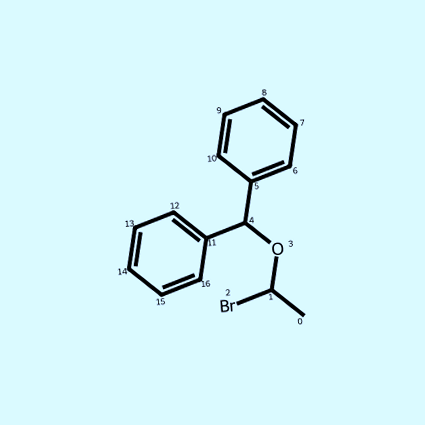 CC(Br)OC(c1ccccc1)c1ccccc1